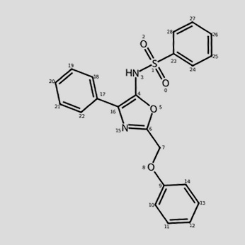 O=S(=O)(Nc1oc(COc2ccccc2)nc1-c1ccccc1)c1ccccc1